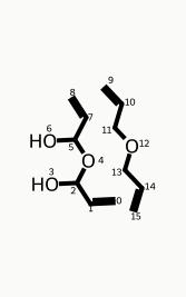 C=CC(O)OC(O)C=C.C=CCOCC=C